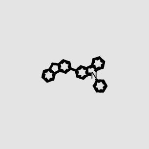 c1ccc(-n2c3ccccc3c3cc(-c4ccc5c(c4)-c4ccccc4C5)ccc32)cc1